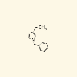 CCc1ccn(Cc2ccccc2)c1